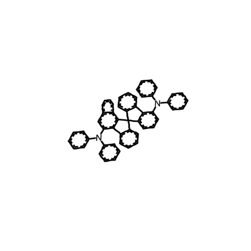 c1ccc(N(c2ccccc2)c2cccc3c2-c2ccccc2C32c3ccccc3-c3c(N(c4ccccc4)c4ccccc4)cc4ccccc4c32)cc1